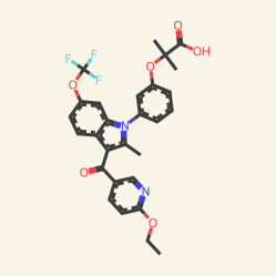 CCOc1ccc(C(=O)c2c(C)n(-c3cccc(OC(C)(C)C(=O)O)c3)c3cc(OC(F)(F)F)ccc23)cn1